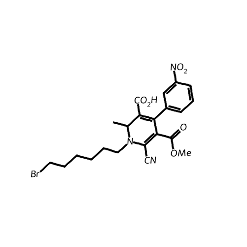 COC(=O)C1=C(C#N)N(CCCCCCBr)C(C)C(C(=O)O)=C1c1cccc([N+](=O)[O-])c1